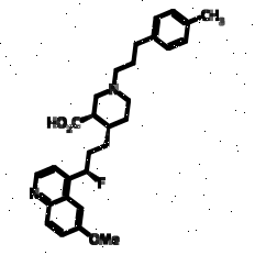 COc1ccc2nccc([C@H](F)CC[C@@H]3CCN(CCCc4ccc(C)cc4)C[C@@H]3C(=O)O)c2c1